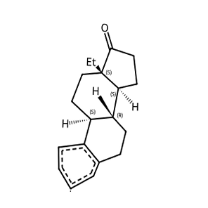 CC[C@]12CC[C@@H]3c4cc[c]cc4CC[C@H]3[C@@H]1CCC2=O